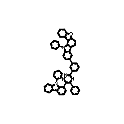 c1ccc(-c2nc(-c3cccc(-c4ccc5c(c4)c4ccc6oc7ccccc7c6c4n5-c4ccccc4)c3)nnc2-c2cccc3c4ccccc4n(-c4ccccc4)c23)cc1